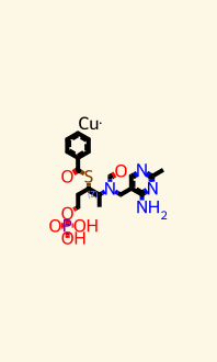 C/C(=C(\CCOP(=O)(O)O)SC(=O)c1ccccc1)N(C=O)Cc1cnc(C)nc1N.[Cu]